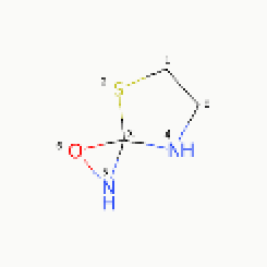 C1CSC2(N1)NO2